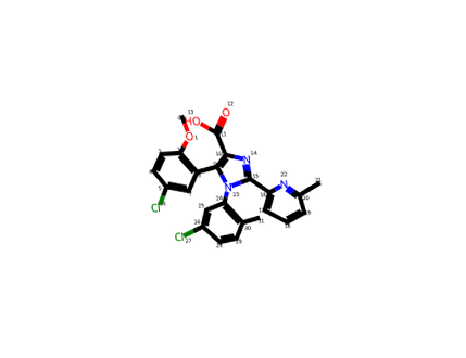 COc1ccc(Cl)cc1-c1c(C(=O)O)nc(-c2cccc(C)n2)n1-c1cc(Cl)ccc1C